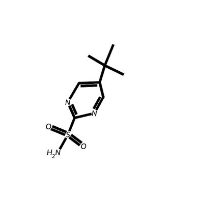 CC(C)(C)c1cnc(S(N)(=O)=O)nc1